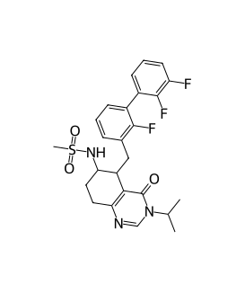 CC(C)n1cnc2c(c1=O)C(Cc1cccc(-c3cccc(F)c3F)c1F)C(NS(C)(=O)=O)CC2